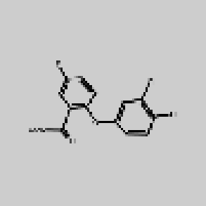 CNC(=O)c1cc(F)ccc1Oc1ccc(Cl)c(Cl)c1